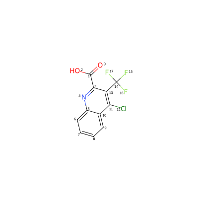 O=C(O)c1nc2ccccc2c(Cl)c1C(F)(F)F